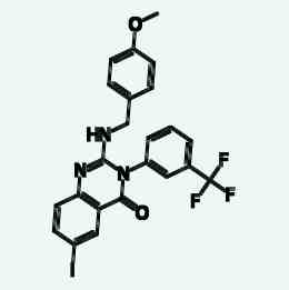 COc1ccc(CNc2nc3ccc(I)cc3c(=O)n2-c2cccc(C(F)(F)F)c2)cc1